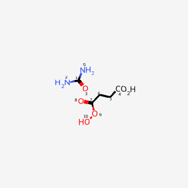 NC(N)=O.O=C(O)CCC(=O)OO